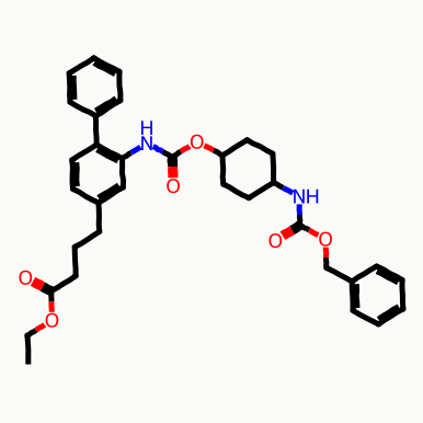 CCOC(=O)CCCc1ccc(-c2ccccc2)c(NC(=O)OC2CCC(NC(=O)OCc3ccccc3)CC2)c1